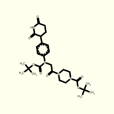 CC(C)(C)OC(=O)N1CCN(C(=O)CN(C(=O)OC(C)(C)C)c2ccc(C3CCC(=O)NC3=O)cc2)CC1